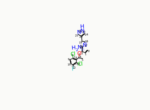 C=C/C(OC(C)c1c(Cl)ccc(F)c1Cl)=C(N)\N=C/Cc1cn[nH]c1